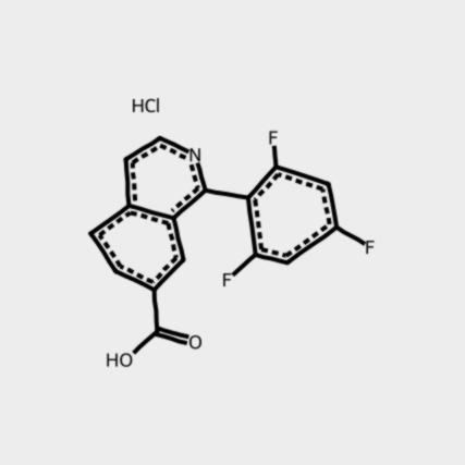 Cl.O=C(O)c1ccc2ccnc(-c3c(F)cc(F)cc3F)c2c1